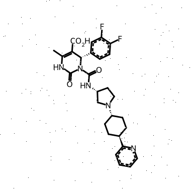 CC1=C(C(=O)O)[C@H](c2ccc(F)c(F)c2)N(C(=O)N[C@@H]2CCN([C@H]3CC[C@H](c4ccccn4)CC3)C2)C(=O)N1